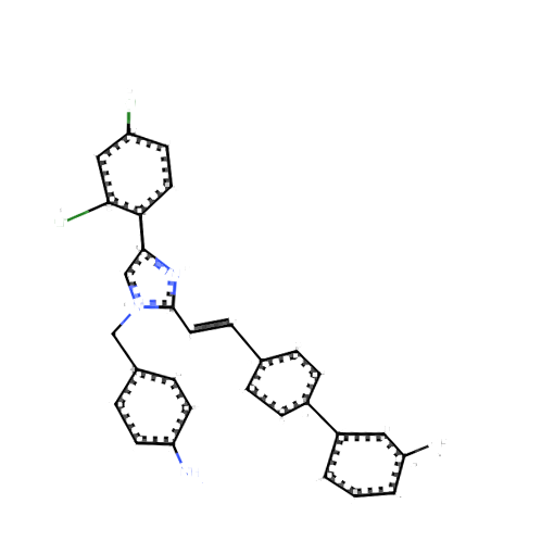 Nc1ccc(Cn2cc(-c3ccc(Cl)cc3Cl)nc2/C=C/c2ccc(-c3cccc(C(F)(F)F)c3)cc2)cc1